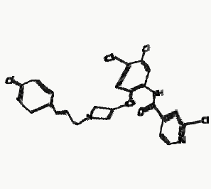 O=C(Nc1cc(Cl)c(Cl)cc1OC1CN(C/C=C/c2ccc(Cl)cc2)C1)c1ccnc(Cl)c1